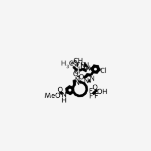 COC(=O)Nc1ccc2c(c1)CCCCCC[C@H](n1cnc(-c3cc(Cl)ccc3-n3cc(Cl)nn3)cc1=O)c1nc-2cn1COCC[Si](C)(C)C.O=C(O)C(F)(F)F